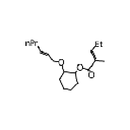 CCC=C(C)C(=O)OC1CCCCC1OCC=CCCC